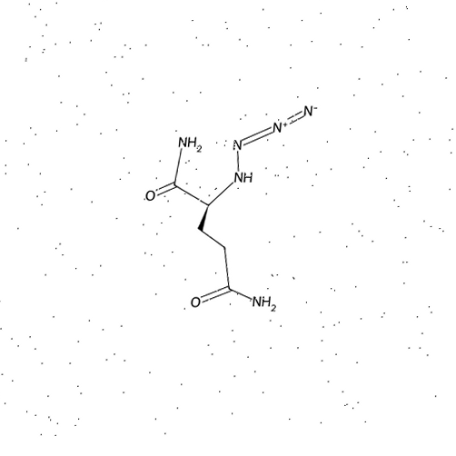 [N-]=[N+]=NN[C@@H](CCC(N)=O)C(N)=O